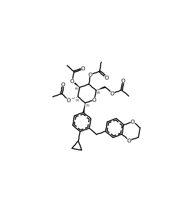 CC(=O)OC[C@H]1O[C@@H](c2ccc(C3CC3)c(Cc3ccc4c(c3)OCCO4)c2)[C@H](OC(C)=O)[C@@H](OC(C)=O)C1OC(C)=O